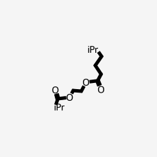 CC(C)CCCC(=O)OCCOC(=O)C(C)C